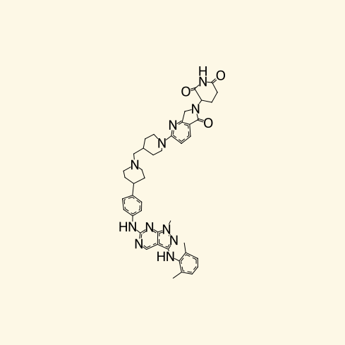 Cc1cccc(C)c1Nc1nn(C)c2nc(Nc3ccc(C4CCN(CC5CCN(c6ccc7c(n6)CN(C6CCC(=O)NC6=O)C7=O)CC5)CC4)cc3)ncc12